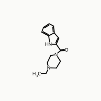 CCN1CCN(C(=O)c2cc3ccccc3[nH]2)CC1